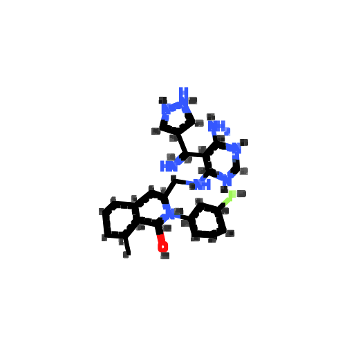 Cc1cccc2cc(CNc3ncnc(N)c3C(=N)c3cn[nH]c3)n(-c3cccc(F)c3)c(=O)c12